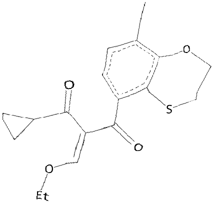 CCOC=C(C(=O)c1ccc(C)c2c1SCCO2)C(=O)C1CC1